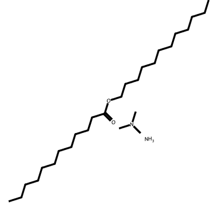 CCCCCCCCCCCCOC(=O)CCCCCCCCCCC.CN(C)C.N